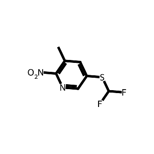 Cc1cc(SC(F)F)cnc1[N+](=O)[O-]